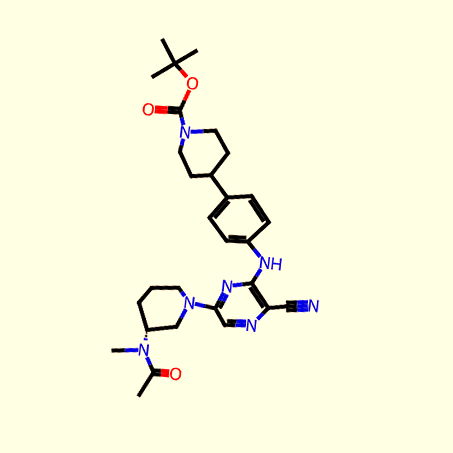 CC(=O)N(C)[C@@H]1CCCN(c2cnc(C#N)c(Nc3ccc(C4CCN(C(=O)OC(C)(C)C)CC4)cc3)n2)C1